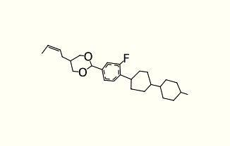 C/C=C\CC1COC(c2ccc(C3CCC(C4CCC(C)CC4)CC3)c(F)c2)OC1